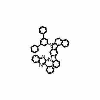 c1ccc(-c2cc(-c3ccccc3)cc(-n3c4cc5c(cc4c4c6ccccc6ccc43)c3ccccc3n5-c3nc4ccccc4nc3-c3ccccc3)c2)cc1